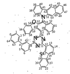 c1ccc(-c2cccc(-c3nc(-c4cccc5c4sc4ccccc45)nc(-c4c5ccccc5c(-n5c6ccccc6c6cc7ccccc7cc65)c5oc6ccccc6c45)n3)c2)cc1